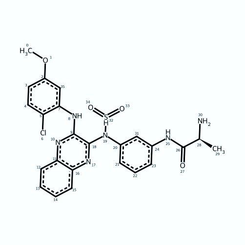 COc1ccc(Cl)c(Nc2nc3ccccc3nc2N(c2cccc(NC(=O)[C@H](C)N)c2)[SH](=O)=O)c1